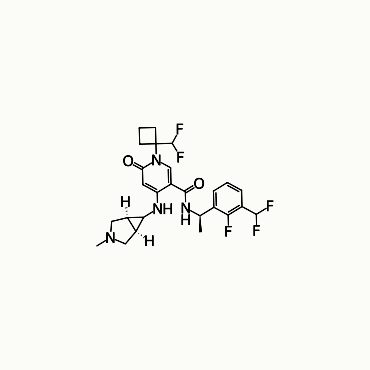 C[C@@H](NC(=O)c1cn(C2(C(F)F)CCC2)c(=O)cc1NC1[C@H]2CN(C)C[C@@H]12)c1cccc(C(F)F)c1F